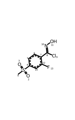 CS(=O)(=O)c1ccc(/C(Cl)=N/O)c(F)c1